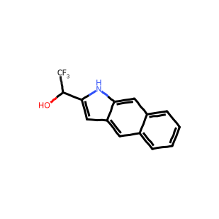 OC(c1cc2cc3ccccc3cc2[nH]1)C(F)(F)F